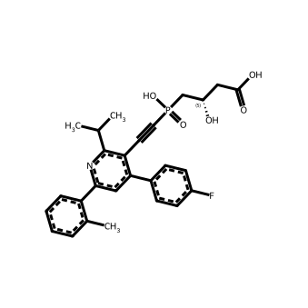 Cc1ccccc1-c1cc(-c2ccc(F)cc2)c(C#CP(=O)(O)C[C@@H](O)CC(=O)O)c(C(C)C)n1